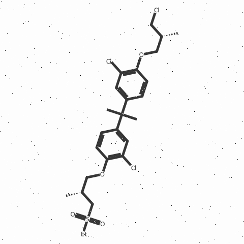 CCS(=O)(=O)C[C@H](C)COc1ccc(C(C)(C)c2ccc(OC[C@@H](C)CCl)c(Cl)c2)cc1Cl